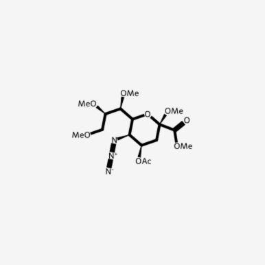 COC[C@@H](OC)[C@@H](OC)C1O[C@](OC)(C(=O)OC)C[C@@H](OC(C)=O)[C@H]1N=[N+]=[N-]